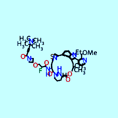 CCn1c(-c2cccnc2COC)c2c3cc(ccc31)-c1csc(n1)C[C@H](NC(=O)[C@@H](F)COC1CN(C(=O)C#CC(C)(C)N(C)C)C1)C(=O)N1CCC[C@H](N1)C(=O)OCC(C)(C)C2